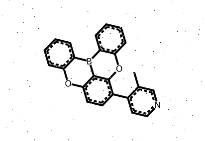 Cc1cnccc1-c1ccc2c3c1Oc1ccccc1B3c1ccccc1O2